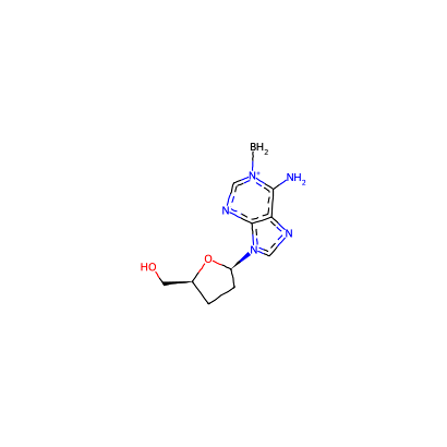 B[n+]1cnc2c(ncn2[C@H]2CC[C@@H](CO)O2)c1N